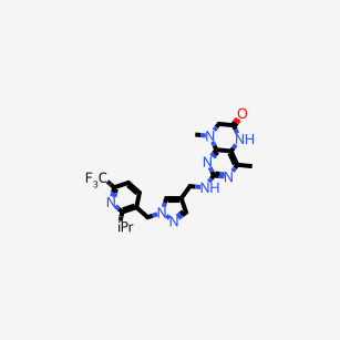 Cc1nc(NCc2cnn(Cc3ccc(C(F)(F)F)nc3C(C)C)c2)nc2c1NC(=O)CN2C